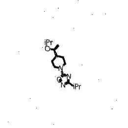 CC(C)OC(C)C1CCN(c2nc(C(C)C)no2)CC1